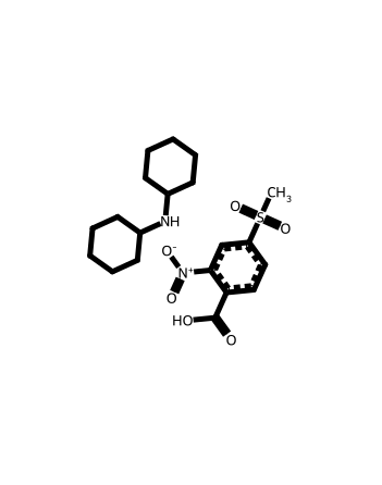 C1CCC(NC2CCCCC2)CC1.CS(=O)(=O)c1ccc(C(=O)O)c([N+](=O)[O-])c1